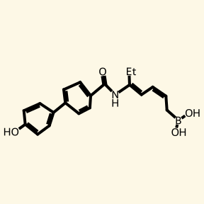 CC/C(=C\C=C/CB(O)O)NC(=O)c1ccc(-c2ccc(O)cc2)cc1